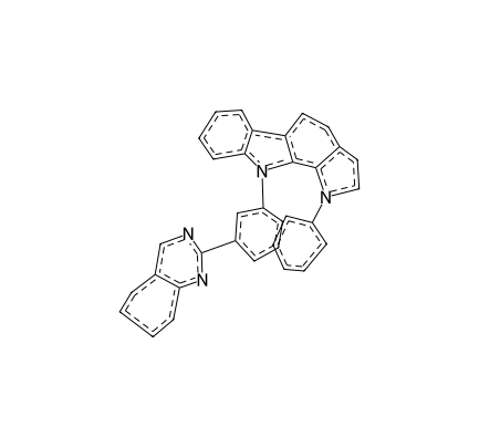 c1ccc(-n2ccc3ccc4c5ccccc5n(-c5cccc(-c6ncc7ccccc7n6)c5)c4c32)cc1